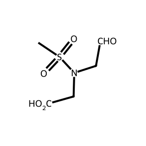 CS(=O)(=O)N(CC=O)CC(=O)O